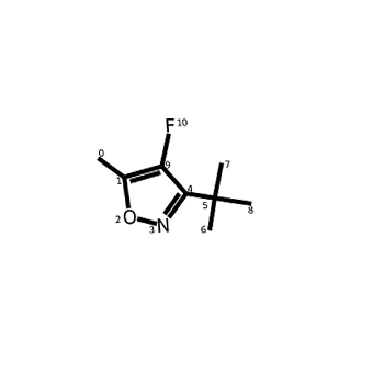 Cc1onc(C(C)(C)C)c1F